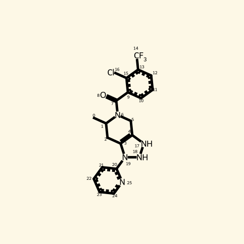 CC1CC2=C(CN1C(=O)c1cccc(C(F)(F)F)c1Cl)NNN2c1ccccn1